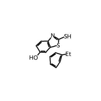 CCc1ccccc1.Oc1ccc2nc(S)sc2c1